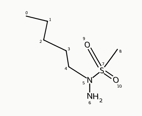 CCCCCN(N)S(C)(=O)=O